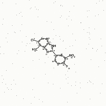 Cc1c(Cl)cnc2[nH]c(-c3ccc(F)c([N+](=O)[O-])c3)nc12